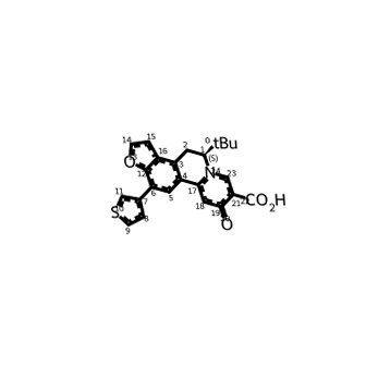 CC(C)(C)[C@@H]1Cc2c(cc(-c3ccsc3)c3occc23)-c2cc(=O)c(C(=O)O)cn21